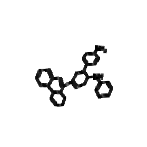 Nc1ccc(C2=CC(c3cc4ccccc4c4c3CCC=C4)=CCC2Nc2ccccc2)cc1